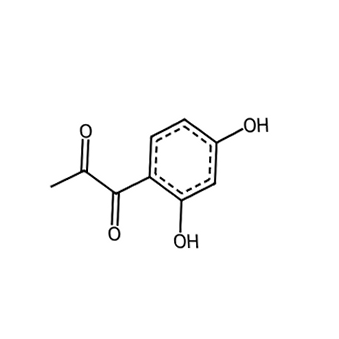 CC(=O)C(=O)c1ccc(O)cc1O